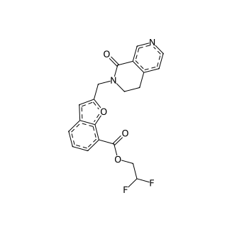 O=C(OCC(F)F)c1cccc2cc(CN3CCc4ccncc4C3=O)oc12